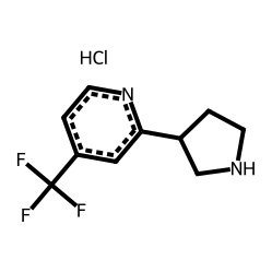 Cl.FC(F)(F)c1ccnc(C2CCNC2)c1